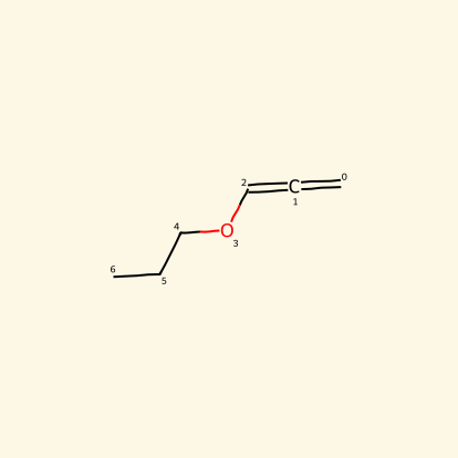 C=C=COCCC